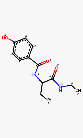 CC(C)CC(NC(=O)c1ccc(O)cc1)C(=O)NCC#N